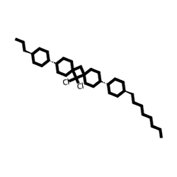 CCCCCCCC[C@H]1CC[C@H](C2CCC3(CC2)CC2(CCC([C@H]4CC[C@H](CCC)CC4)CC2)C3(Cl)Cl)CC1